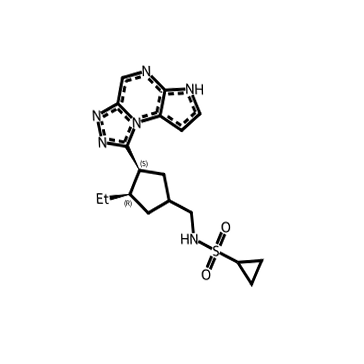 CC[C@@H]1CC(CNS(=O)(=O)C2CC2)C[C@@H]1c1nnc2cnc3[nH]ccc3n12